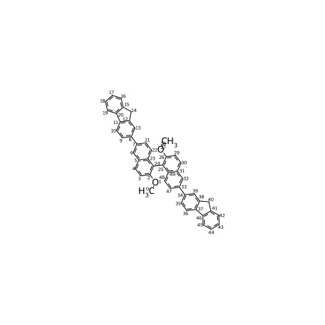 COc1ccc2cc(-c3ccc4c(c3)Cc3ccccc3-4)ccc2c1-c1c(OC)ccc2cc(-c3ccc4c(c3)Cc3ccccc3-4)ccc12